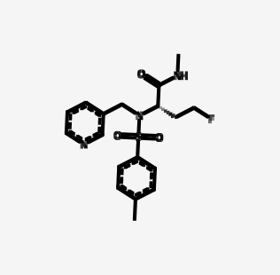 CNC(=O)[C@H](CCF)N(Cc1cccnc1)S(=O)(=O)c1ccc(C)cc1